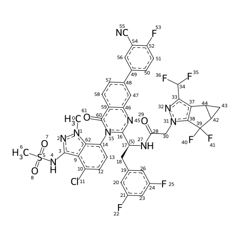 Cn1nc(NS(C)(=O)=O)c2c(Cl)ccc(-n3c([C@H](Cc4cc(F)cc(F)c4)NC(=O)Cn4nc(C(F)F)c5c4C(F)(F)C4CC54)nc4cc(-c5ccc(F)c(C#N)c5)ccc4c3=O)c21